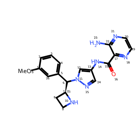 COc1cccc(C([C@@H]2CCN2)n2cc(NC(=O)c3nccnc3N)cn2)c1